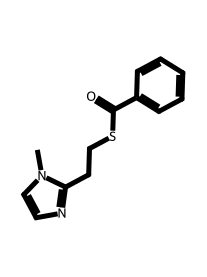 Cn1ccnc1CCSC(=O)c1ccccc1